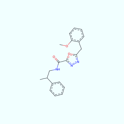 COc1ccccc1Cc1nnc(C(=O)NCC(C)c2ccccc2)o1